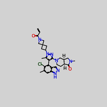 C=CC(=O)N1CC2(CC(n3nc(N4CC[C@@H]5C(=O)N(C)C[C@@H]5C4)c(-c4c(Cl)c(C)cc5[nH]ncc45)c3C)C2)C1